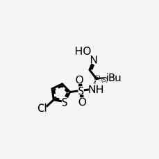 CC[C@H](C)[C@@H](C=NO)NS(=O)(=O)c1ccc(Cl)s1